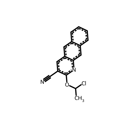 CC(Cl)Oc1nc2cc3ccccc3cc2cc1C#N